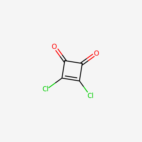 O=c1c(Cl)c(Cl)c1=O